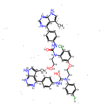 Cc1c[nH]c2ncnc(-c3ccc(NC(=O)N(CCO)c4cc(OCCN(c5ccc(F)cc5)C(O)Nc5ccc(-c6ncnc7[nH]cc(C)c67)cc5)ccc4Cl)cc3)c12